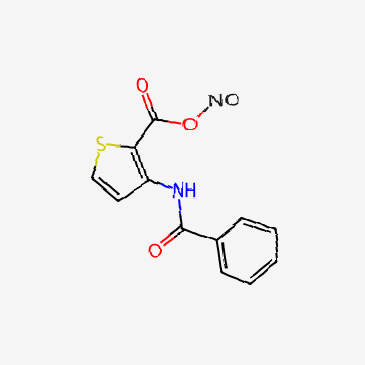 O=NOC(=O)c1sccc1NC(=O)c1ccccc1